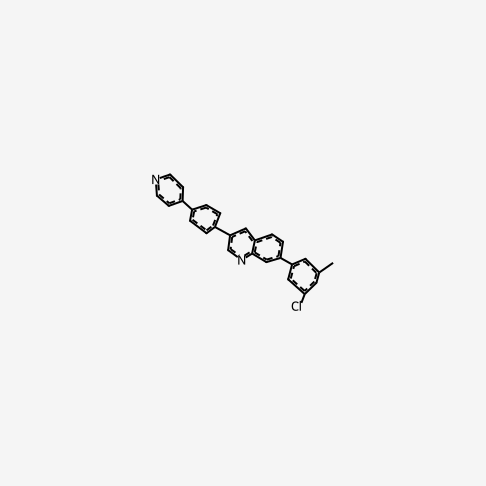 Cc1cc(Cl)cc(-c2ccc3cc(-c4ccc(-c5ccncc5)cc4)cnc3c2)c1